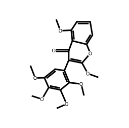 COc1cc(-c2c(OC)oc3cccc(OC)c3c2=O)c(OC)c(OC)c1OC